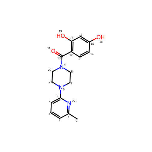 Cc1cccc(N2CCN(C(=O)c3ccc(O)cc3O)CC2)n1